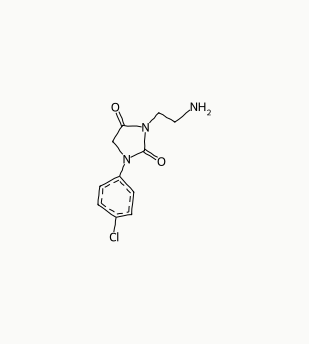 NCCN1C(=O)CN(c2ccc(Cl)cc2)C1=O